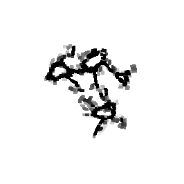 Fc1cccc(Cl)c1-c1noc(C2CC2)c1CO[C@@H]1C[C@@H]2C[C@H]1CN2